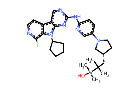 CC(C)(C[C@H]1CCN(c2ccc(Nc3ncc4c5ccnc(F)c5n(C5CCCC5)c4n3)nc2)C1)[Si](C)(C)O